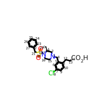 C[C@H]1CN(Cc2cc(Cl)ccc2CCC(=O)O)CCN1S(=O)(=O)Cc1ccccc1